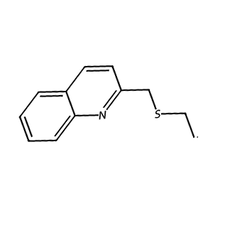 [CH2]CSCc1ccc2ccccc2n1